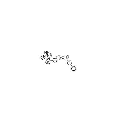 N=C(N)N1CCC[C@H]1c1nc(-c2ccc3cc(OCC(=O)c4ccc(-c5ccccc5)cc4)ccc3c2)no1